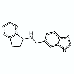 c1cnc2c(c1)CCC2NCc1ccc2scnc2c1